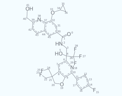 O=C(NCC(O)(c1cc2c(c(-c3ccc(F)cc3)n1)OCC2(CF)CF)C(F)(F)F)c1cc(OC2CC2)c2nc(CO)ccc2c1